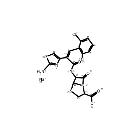 Nc1nc(/C(=C/c2c(Cl)cccc2Cl)C(=O)NC2C(=O)N3C(C(=O)[O-])CSC23)cs1.[Na+]